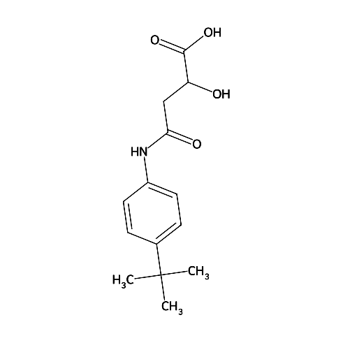 CC(C)(C)c1ccc(NC(=O)CC(O)C(=O)O)cc1